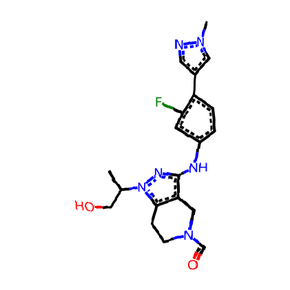 CC(CO)n1nc(Nc2ccc(-c3cnn(C)c3)c(F)c2)c2c1CCN(C=O)C2